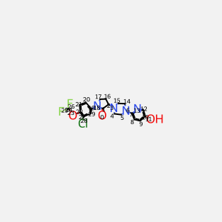 O=C1C(N2CCN(c3ccc(O)cn3)CC2)CCN1c1ccc(OC(F)F)c(Cl)c1